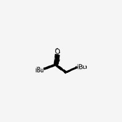 CCC(C)[CH]C(=O)C(C)CC